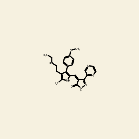 CCNCCc1c(C)[nH]c(C=C2C(=O)NN=C2c2cnccn2)c1-c1ccc(OC)cc1